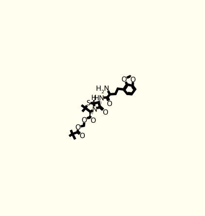 CC(C)(C)C(=O)OCOC(=O)[C@@H]1N2C(=O)[C@@H](NC(=O)C(N)CCc3cccc4c3OCO4)[C@H]2SC1(C)C